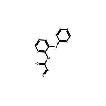 O=CC(=O)Nc1ccccc1Oc1ccccc1